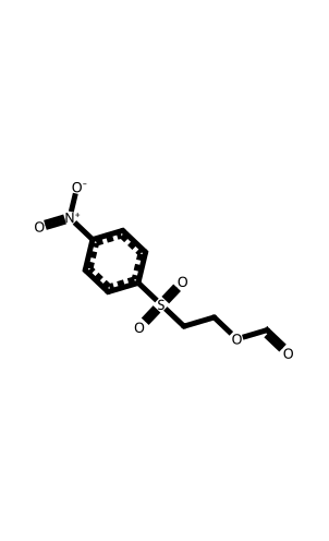 O=[C]OCCS(=O)(=O)c1ccc([N+](=O)[O-])cc1